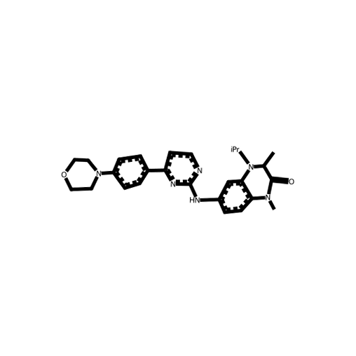 CC(C)N1c2cc(Nc3nccc(-c4ccc(N5CCOCC5)cc4)n3)ccc2N(C)C(=O)C1C